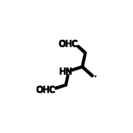 [CH2]C(CC=O)NCC=O